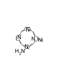 NC1=CC2=CC3=NC(=CC4=NC(=CC5=NC(=CC1=N2)C=C5)C=C4)C=C3.[Ni]